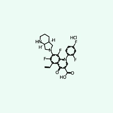 C=Cc1c(F)c(N2C[C@@H]3CCCN[C@@H]3C2)c(F)c2c1c(=O)c(C(=O)O)cn2-c1ccc(F)cc1F.Cl